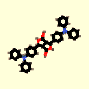 O=C1OC(c2ccc(N(c3ccccc3)c3ccccc3)cc2)=C2C(=O)OC(c3ccc(N(c4ccccc4)c4ccccc4)cc3)=C12